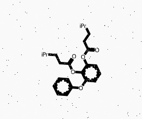 CC(C)CCC(=O)Oc1cccc(Oc2ccccc2)c1OC(=O)CCC(C)C